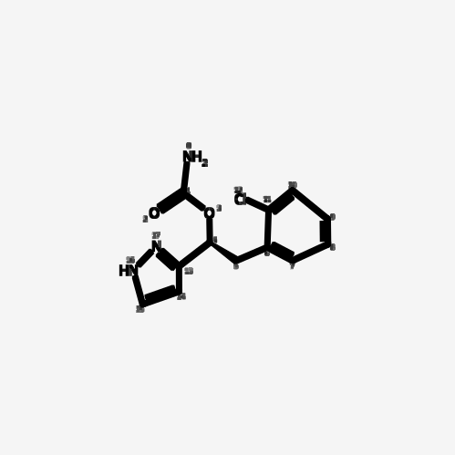 NC(=O)O[C@@H](Cc1ccccc1Cl)c1cc[nH]n1